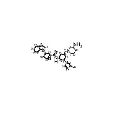 Cc1cn(-c2cc(CN3CCC[C@H](N)C3)cc(NC(=O)c3cc(-n4cnc5ccccc54)ccn3)c2)cn1